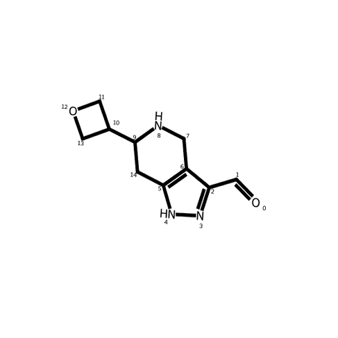 O=Cc1n[nH]c2c1CNC(C1COC1)C2